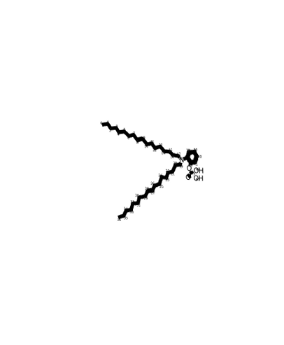 CCCCCCCCC=CCCCCCCCCN(CCCCCCCCC=CCCCCCCCC)c1ccccc1OP(=O)(O)O